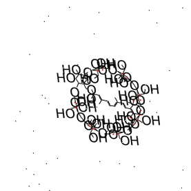 CC1=C(/C=C/C(C)=C/C=C/C(C)=C/C(O)OCC2OC3OC4C(CO)OC(OC5C(CO)OC(OC6C(CO)OC(OC7C(CO)OC(OC8C(CO)OC(OC9C(CO)OC(OC%10C(CO)OC(OC2C(O)C3O)C(O)C%10O)C(O)C9O)C(O)C8O)C(O)C7O)C(O)C6O)C(O)C5O)C(O)C4O)C(C)(C)CCC1